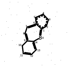 B1=c2ccccc2=CC=C2CC=CC=C12